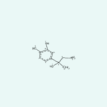 CC(O)(CN)c1ccc(O)c(O)c1